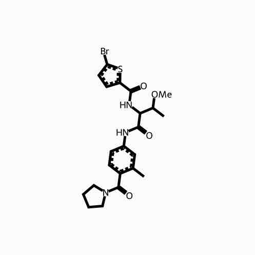 COC(C)C(NC(=O)c1ccc(Br)s1)C(=O)Nc1ccc(C(=O)N2CCCC2)c(C)c1